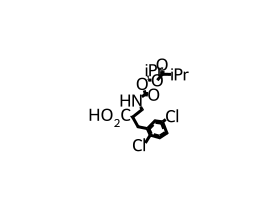 CC(C)C(=O)O[C@H](OC(=O)NC[C@H](Cc1cc(Cl)ccc1Cl)C(=O)O)C(C)C